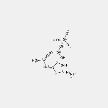 NC(=O)NN1CCNC1.O=S(O)O.O=S([O-])[O-].[Na+].[Na+]